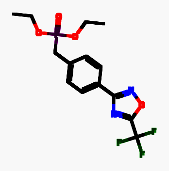 CCOP(=O)(Cc1ccc(-c2noc(C(F)(F)F)n2)cc1)OCC